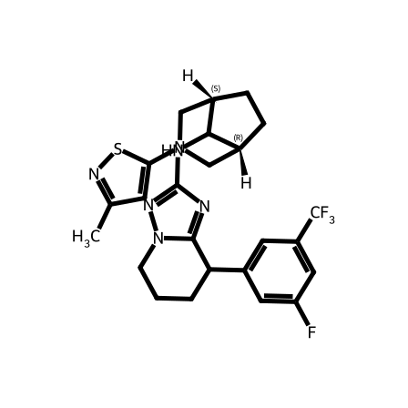 Cc1cc(N2C[C@H]3CC[C@@H](C2)C3Nc2nc3n(n2)CCCC3c2cc(F)cc(C(F)(F)F)c2)sn1